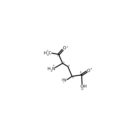 CC(=O)C(N)CC([18F])C(=O)O